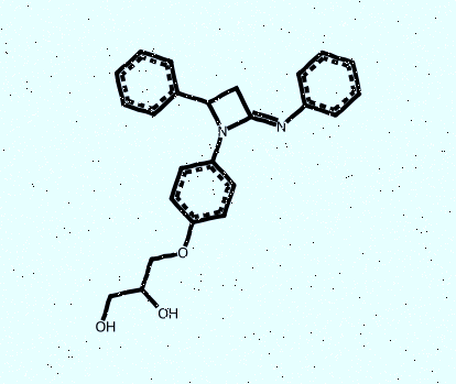 OCC(O)COc1ccc(N2/C(=N/c3ccccc3)CC2c2ccccc2)cc1